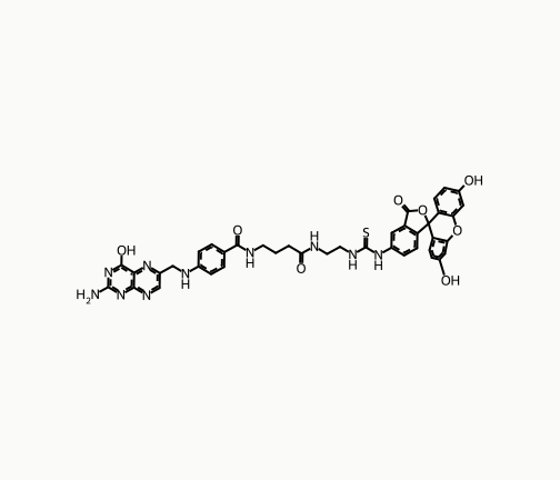 Nc1nc(O)c2nc(CNc3ccc(C(=O)NCCCC(=O)NCCNC(=S)Nc4ccc5c(c4)C(=O)OC54c5ccc(O)cc5Oc5cc(O)ccc54)cc3)cnc2n1